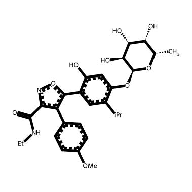 CCNC(=O)c1noc(-c2cc(C(C)C)c(O[C@@H]3O[C@@H](C)[C@@H](O)[C@@H](O)[C@@H]3O)cc2O)c1-c1ccc(OC)cc1